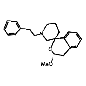 CO[C@H]1Cc2ccccc2[C@]2(CCCN(CCc3ccccc3)C2)O1